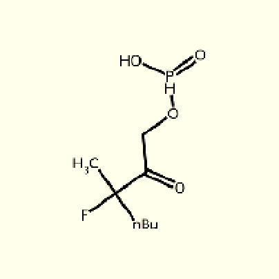 CCCCC(C)(F)C(=O)CO[PH](=O)O